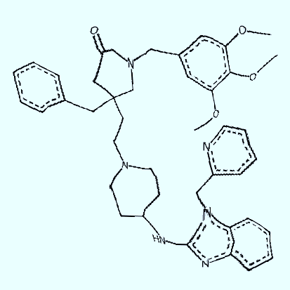 COc1cc(CN2CC(CCN3CCC(Nc4nc5ccccc5n4Cc4ccccn4)CC3)(Cc3ccccc3)CC2=O)cc(OC)c1OC